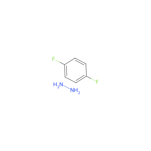 Fc1ccc(F)cc1.NN